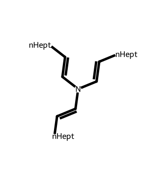 CCCCCCCC=CN(C=CCCCCCCC)C=CCCCCCCC